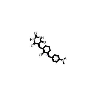 CN(C)c1ccc(/C=C2\CCCC(C=C3C(=O)NC(=O)NC3=O)=C2Cl)cc1